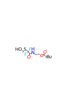 CCC(C)C(=O)OCCNC(=O)C(F)(F)S(=O)(=O)O